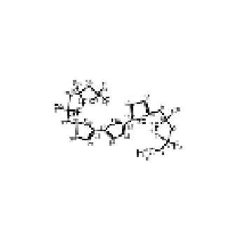 CCC(F)(F)CC(F)(F)Cc1ccc(-c2ccc(-c3ccc(CC(F)(F)CC(F)(F)CC(F)(F)F)s3)s2)s1